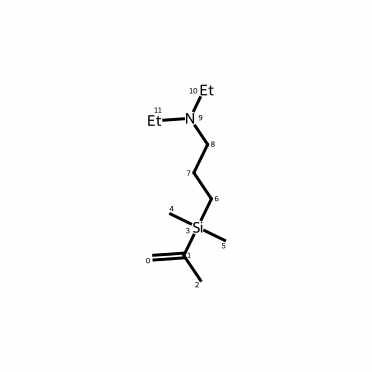 C=C(C)[Si](C)(C)CCCN(CC)CC